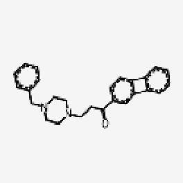 O=C(CCN1CCN(Cc2ccccc2)CC1)c1ccc2c(c1)-c1ccccc1-2